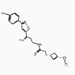 C=C(CCNC(=O)CO[C@H]1C[C@@H](OC(F)(F)F)C1)c1cc(-c2ccc(Cl)cc2)no1